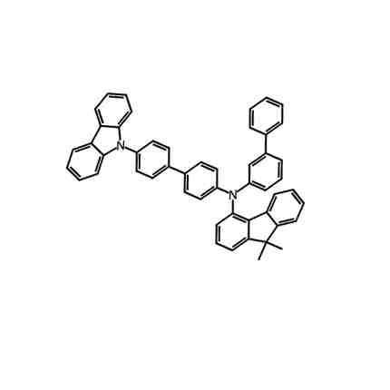 CC1(C)c2ccccc2-c2c(N(c3ccc(-c4ccc(-n5c6ccccc6c6ccccc65)cc4)cc3)c3cccc(-c4ccccc4)c3)cccc21